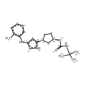 Cc1ccncc1Nc1cc([C@H]2CC[C@@H](OC(=O)NC(C)(C)C)C2)[nH]n1